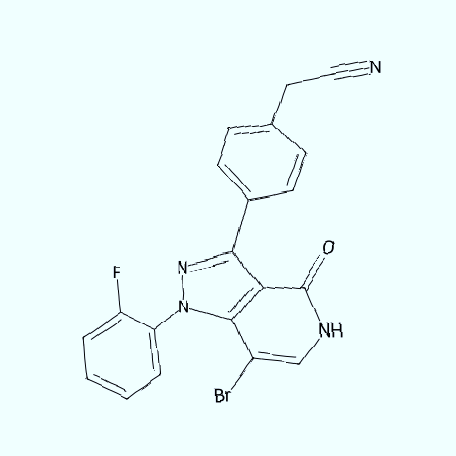 N#CCc1ccc(-c2nn(-c3ccccc3F)c3c(Br)c[nH]c(=O)c23)cc1